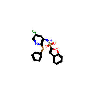 O=S(=O)(Nc1cc(Cl)cnc1Sc1ccccc1)c1cc2ccccc2o1